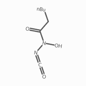 CCCCCC(=O)N(O)N=C=O